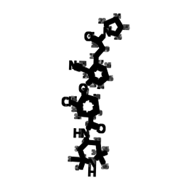 CC1(C)CC(NC(=O)c2ccc(Oc3cccc(CCC(=O)N4CCCC4)c3C#N)c(Cl)c2)CC(C)(C)N1